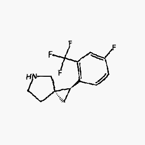 Fc1ccc([C@H]2C[C@@]23CCNC3)c(C(F)(F)F)c1